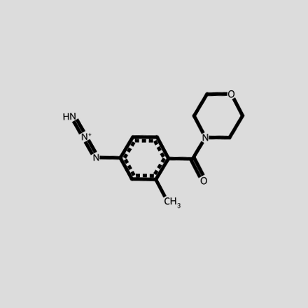 Cc1cc(N=[N+]=N)ccc1C(=O)N1CCOCC1